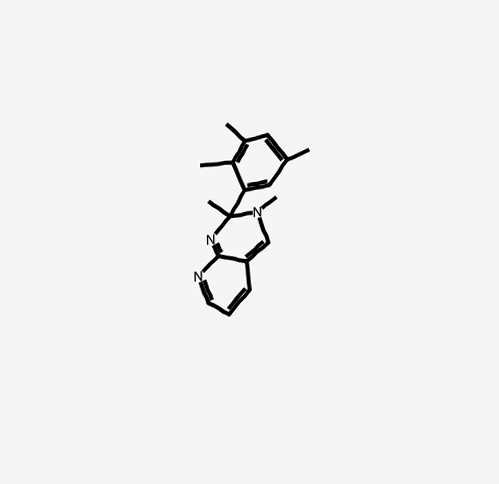 Cc1cc(C)c(C)c(C2(C)N=c3ncccc3=CN2C)c1